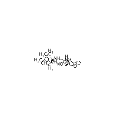 CC(C)c1cc(C(C)C)c(CC(=O)NCCCCC(NS(=O)(=O)c2ccc3oc4ccccc4c3c2)C(=O)O)c(C(C)C)c1